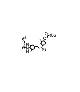 CCSCCS(=O)(=O)Nc1ccc(CCC(CC)c2ccc(OCC(=O)C(C)(C)C)c(C)c2)cc1C